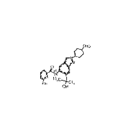 CC(C)(C)c1cccc(C(=O)Nc2cc3cn(C4CCC(C=O)CC4)nc3cc2C(C)(C)O)n1